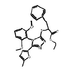 CCOC(=O)C(Cc1ccccc1)Sc1nnc(-c2ccc(C)o2)n1-c1c(OC)cccc1OC